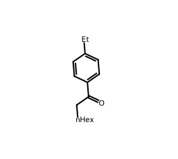 CCCCCCCC(=O)c1ccc(CC)cc1